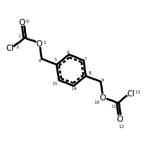 O=C(Cl)OCc1ccc(COC(=O)Cl)cc1